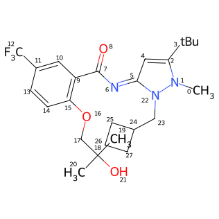 Cn1c(C(C)(C)C)cc(=NC(=O)c2cc(C(F)(F)F)ccc2OCC(C)(C)O)n1CC1CCC1